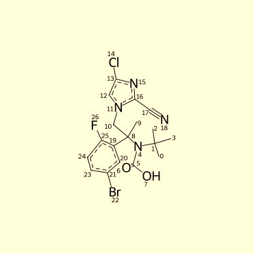 CC(C)(C)N(C(=O)O)C(C)(Cn1cc(Cl)nc1C#N)c1cc(Br)ccc1F